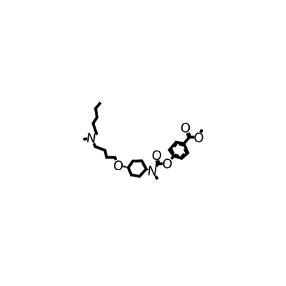 CCCCCN(C)CCCCO[C@H]1CC[C@H](N(C)C(=O)Oc2ccc(C(=O)OC)cc2)CC1